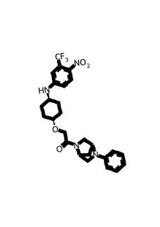 O=C(CO[C@H]1CC[C@H](Nc2ccc([N+](=O)[O-])c(C(F)(F)F)c2)CC1)N1CC2CC1CN2c1ccccc1